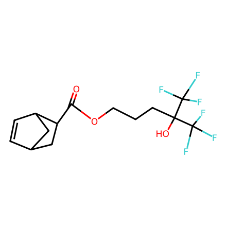 O=C(OCCCC(O)(C(F)(F)F)C(F)(F)F)C1CC2C=CC1C2